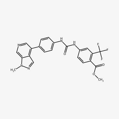 COC(=O)c1ccc(NC(=O)Nc2ccc(-c3cncc4c3cnn4C)cc2)cc1C(F)(F)F